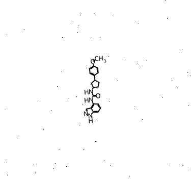 COc1ccc(C2CCC(NC(=O)Nc3cccc4[nH]ncc34)C2)cc1